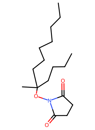 CCCCCCCC(C)(CCCC)ON1C(=O)CCC1=O